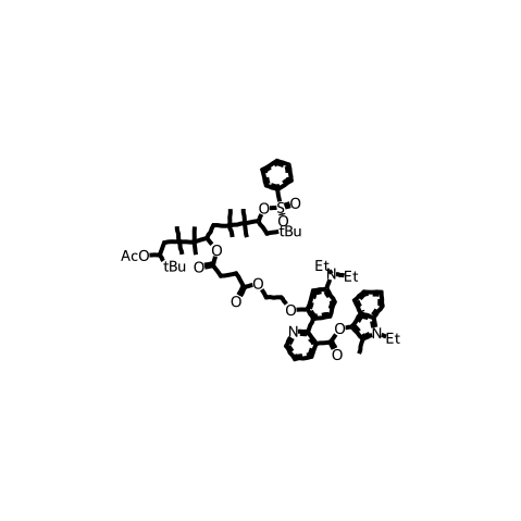 CCN(CC)c1ccc(-c2ncccc2C(=O)Oc2c(C)n(CC)c3ccccc23)c(OCCOC(=O)CCC(=O)OC(CC(C)(C)C(C)(C)C(CC(C)(C)C)OS(=O)(=O)c2ccccc2)C(C)(C)C(C)(C)CC(OC(C)=O)C(C)(C)C)c1